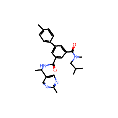 Cc1ccc(-c2cc(C(=O)NC(C)c3cnc(C)nc3)cc(C(=O)N(C)CC(C)C)c2)cc1